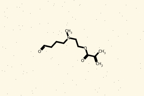 C=C(C)C(=O)OCCN(C)CCCC=O